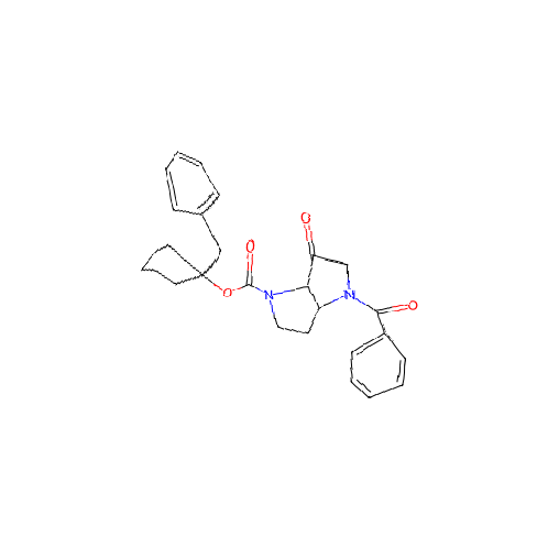 O=C1CN(C(=O)c2ccccc2)C2CCN(C(=O)OC3(Cc4ccccc4)CCC3)C12